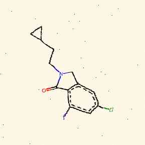 O=C1c2c(I)cc(Cl)cc2CN1CCC1CC1